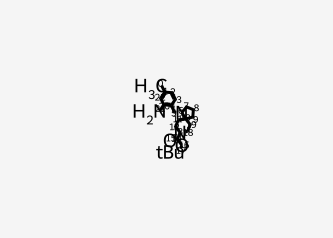 Cc1ccc(CN2CCCC23CCN(C(=O)OC(C)(C)C)CC3)c(N)c1